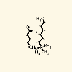 CCCCC(=O)O.CCCCCCC[N+](C)(C)C